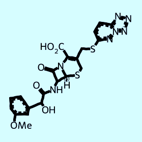 COc1cccc(C(O)C(=O)NC2C(=O)N3C(C(=O)O)=C(CSc4ccc5nnnn5n4)CS[C@@H]23)c1